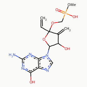 C=CC1(OCP(=O)(O)OC)OC(n2cnc3c(O)nc(N)nc32)C(O)C1=C